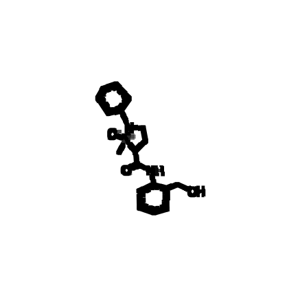 C[N+]1([O-])C(C(=O)Nc2ccccc2CO)CCN1c1ccccc1